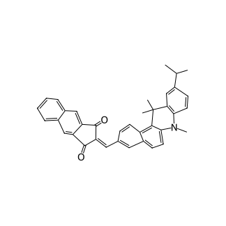 CC(C)c1ccc2c(c1)C(C)(C)c1c(ccc3cc(C=C4C(=O)c5cc6ccccc6cc5C4=O)ccc13)N2C